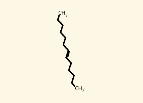 [CH2]CCCCC=CCCCCCC